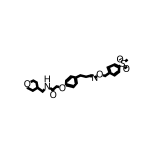 CS(=O)(=O)c1ccc(CON=CCCc2ccc(OCC(=O)NCC3CCOCC3)cc2)cc1